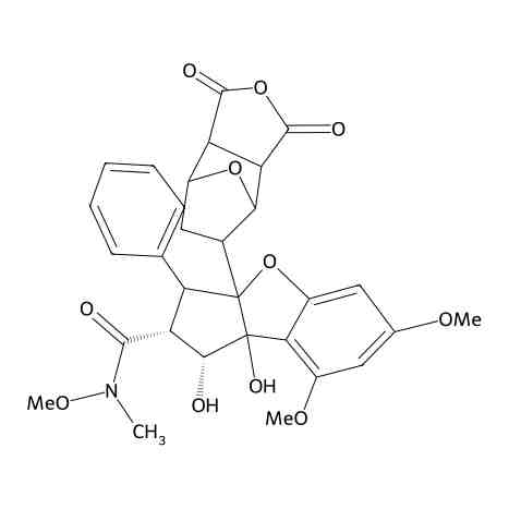 COc1cc(OC)c2c(c1)OC1(C3CC4OC3C3C(=O)OC(=O)C43)C(c3ccccc3)[C@@H](C(=O)N(C)OC)[C@@H](O)C21O